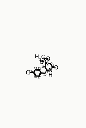 CS(=O)(=O)N1CC(=O)N[C@@H](Cc2ccc(Cl)cc2)C1